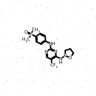 CP(C)(=O)c1ccc(Nc2ncc(C(F)(F)F)c(NN3CCCO3)n2)cc1